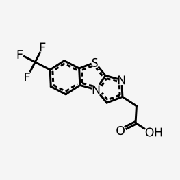 O=C(O)Cc1cn2c(n1)sc1cc(C(F)(F)F)ccc12